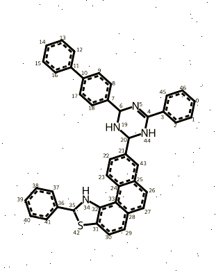 c1ccc(C2=NC(c3ccc(-c4ccccc4)cc3)NC(c3ccc4c(ccc5ccc6c(c54)NC(c4ccccc4)S6)c3)N2)cc1